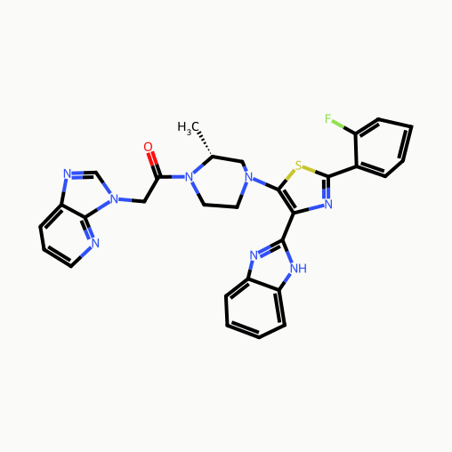 C[C@@H]1CN(c2sc(-c3ccccc3F)nc2-c2nc3ccccc3[nH]2)CCN1C(=O)Cn1cnc2cccnc21